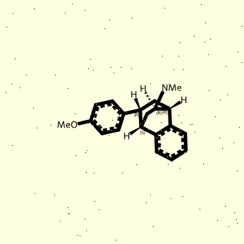 CN[C@@H]1C[C@@H]2c3ccccc3[C@H]1C[C@H]2c1ccc(OC)cc1